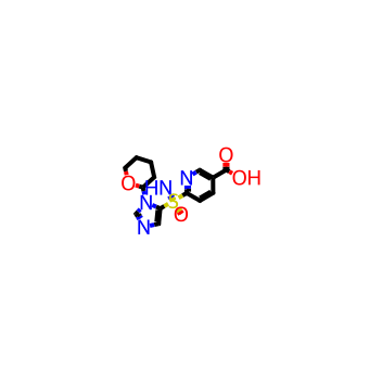 N=S(=O)(c1ccc(C(=O)O)cn1)c1cncn1C1CCCCO1